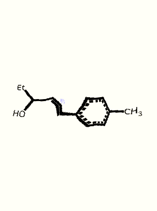 CCC(O)/C=C/c1ccc(C)cc1